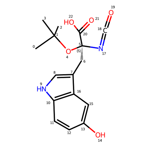 CC(C)(C)O[C@](Cc1c[nH]c2ccc(O)cc12)(N=C=O)C(=O)O